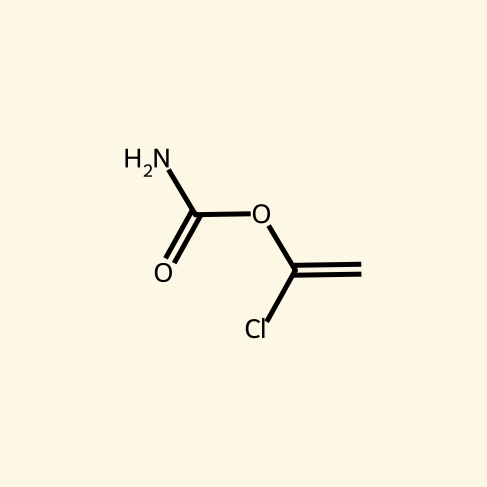 C=C(Cl)OC(N)=O